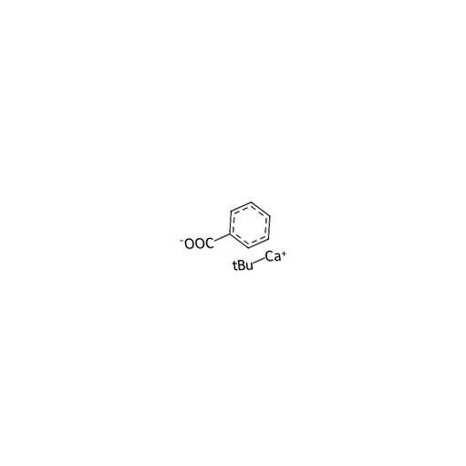 C[C](C)(C)[Ca+].O=C([O-])c1ccccc1